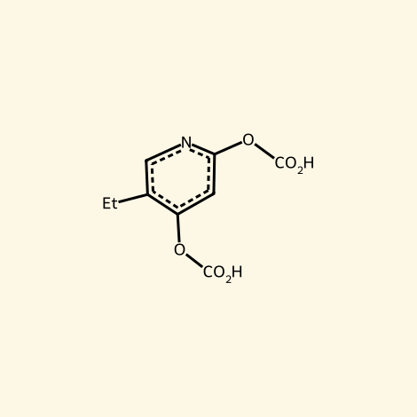 CCc1cnc(OC(=O)O)cc1OC(=O)O